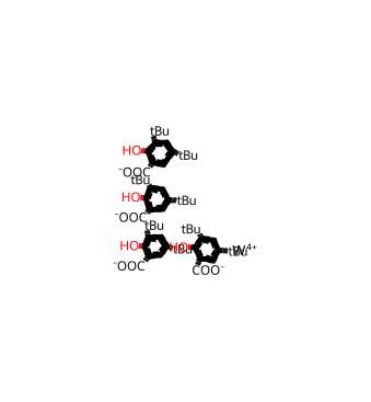 CC(C)(C)c1cc(C(=O)[O-])c(O)c(C(C)(C)C)c1.CC(C)(C)c1cc(C(=O)[O-])c(O)c(C(C)(C)C)c1.CC(C)(C)c1cc(C(=O)[O-])c(O)c(C(C)(C)C)c1.CC(C)(C)c1cc(C(=O)[O-])c(O)c(C(C)(C)C)c1.[W+4]